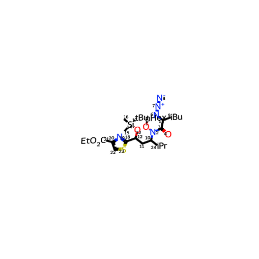 CCCCCCON(C(=O)C(N=[N+]=[N-])C(C)CC)C(CC(O[Si](C)(C)C(C)(C)C)c1nc(C(=O)OCC)cs1)C(C)C